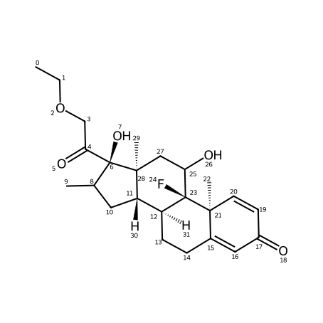 CCOCC(=O)[C@@]1(O)C(C)C[C@H]2[C@@H]3CCC4=CC(=O)C=C[C@]4(C)[C@@]3(F)C(O)C[C@@]21C